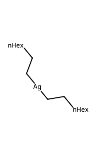 CCCCCCC[CH2][Ag][CH2]CCCCCCC